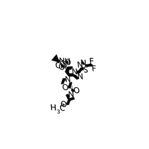 COCC1CN(C(=O)[C@H]2CN(c3cc(S(=O)(=O)NC4(C)CC4)cn4c(-c5nnc(C(F)F)s5)ncc34)CCO2)C1